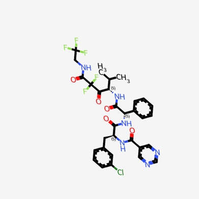 CC(C)[C@H](NC(=O)[C@@H](NC(=O)[C@H](Cc1cccc(Cl)c1)NC(=O)c1cncnc1)c1ccccc1)C(=O)C(F)(F)C(=O)NCC(F)(F)F